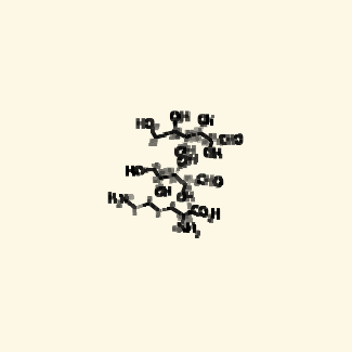 NCCCC[C@H](N)C(=O)O.O=C[C@H](O)[C@@H](O)[C@H](O)CO.O=C[C@H](O)[C@@H](O)[C@H](O)[C@H](O)CO